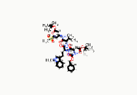 CC(C)[C@H](NC(=O)[C@H](CCc1cn(C)c2ccccc12)NC(=O)[C@H](CC(=O)OC(C)(C)C)NC(=O)OCc1ccccc1)C(=O)N[C@H](/C=C/S(C)(=O)=O)CC(=O)OC(C)(C)C